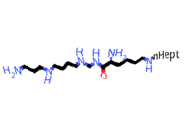 CCCCCCCNCCCC[C@H](N)C(=O)NCNCCCCNCCCN